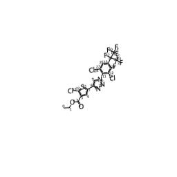 CCOC(=O)c1cc(-c2cn(-c3c(Cl)cc(C(F)(C(F)(F)F)C(F)(F)F)cc3Cl)nn2)sc1Cl